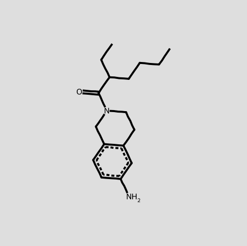 CCCCC(CC)C(=O)N1CCc2cc(N)ccc2C1